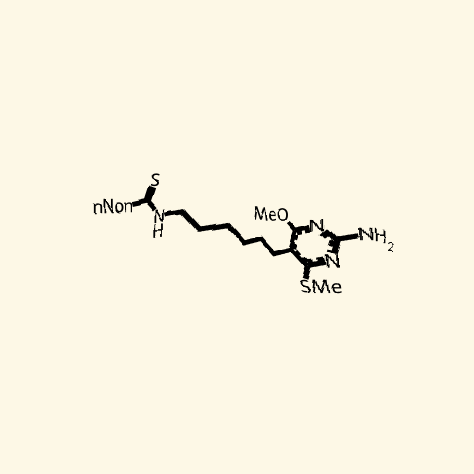 CCCCCCCCCC(=S)NCCCCCCc1c(OC)nc(N)nc1SC